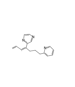 C=C[C]=C(CCCc1ccccn1)c1cnccn1